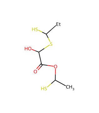 CCC(S)SC(O)C(=O)OC(C)S